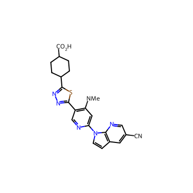 CNc1cc(-n2ccc3cc(C#N)cnc32)ncc1-c1nnc(C2CCC(C(=O)O)CC2)s1